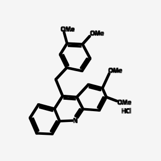 COc1ccc(Cc2c3ccccc3nc3cc(OC)c(OC)cc23)cc1OC.Cl